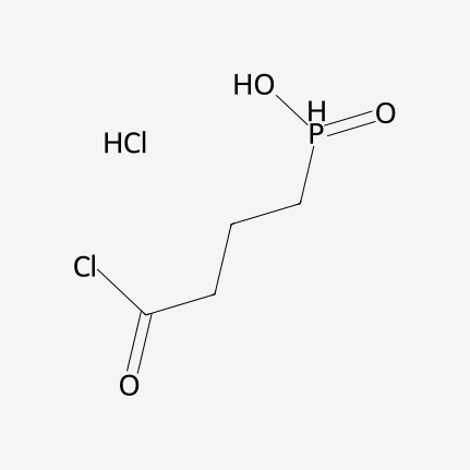 Cl.O=C(Cl)CCC[PH](=O)O